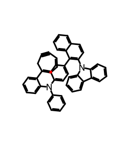 C1#CCC(c2ccccc2N(C2=CC=C(c3c(-n4c5ccccc5c5ccccc54)ccc4ccccc34)CC2)c2ccccc2)=CC=C1